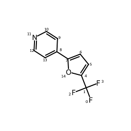 FC(F)(F)c1ccc(-c2ccncc2)o1